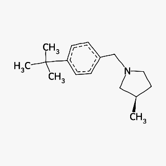 C[C@@H]1CCN(Cc2ccc(C(C)(C)C)cc2)C1